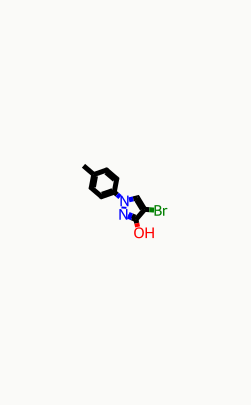 Cc1ccc(-n2cc(Br)c(O)n2)cc1